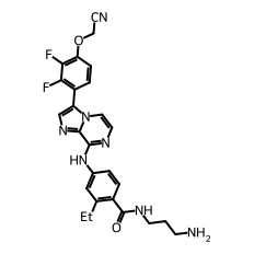 CCc1cc(Nc2nccn3c(-c4ccc(OCC#N)c(F)c4F)cnc23)ccc1C(=O)NCCCN